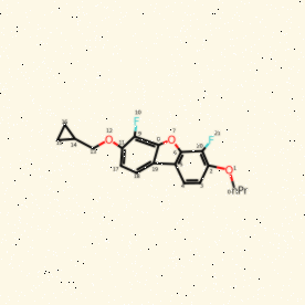 CCCOc1ccc2c(oc3c(F)c(OCC4CC4)ccc32)c1F